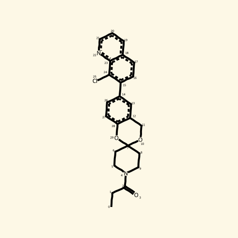 CCC(=O)N1CCC2(CC1)OCc1cc(-c3ccc4cccnc4c3Cl)ccc1O2